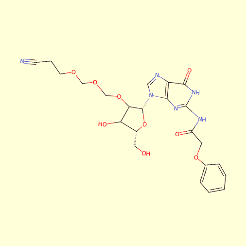 N#CCCOCOCOC1C(O)[C@@H](CO)O[C@H]1n1cnc2c(=O)[nH]c(NC(=O)COc3ccccc3)nc21